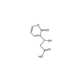 O=C(O)CC(S)c1cccoc1=O